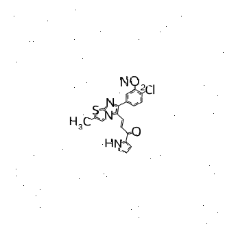 Cc1cn2c(C=CC(=O)c3ccc[nH]3)c(-c3ccc(Cl)c([N+](=O)[O-])c3)nc2s1